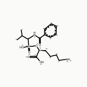 CC(C)C(NC(=O)c1ccccc1)P(=O)(O)O[C@@H](CCCCN)C(=O)O